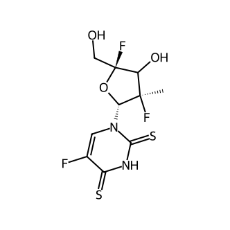 C[C@@]1(F)C(O)[C@@](F)(CO)O[C@H]1n1cc(F)c(=S)[nH]c1=S